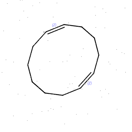 [C]1=C\CCC/C=C\CCCCC/1